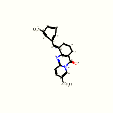 O=C(O)c1ccc2nc3c(c(=O)n2c1)CCC/C3=C\c1cccc([N+](=O)[O-])c1